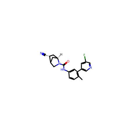 Cc1ccc(NC(=O)N2CC3C[C@H]2C[C@H]3C#N)cc1-c1cncc(F)c1